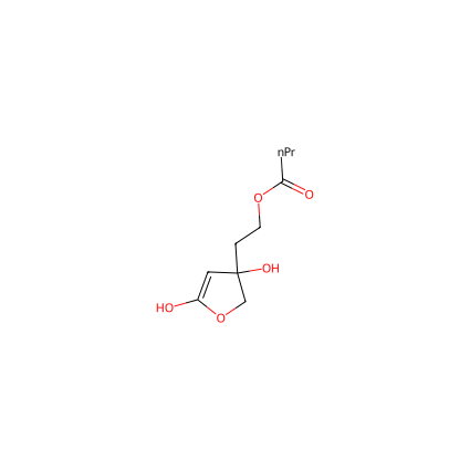 CCCC(=O)OCCC1(O)C=C(O)OC1